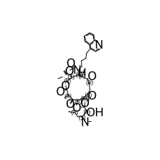 C=C[C@]12OC(=O)N(CCCCc3ccnc4ccccc34)[C@@H]1[C@@H](C)C(=O)[C@H](C)C[C@](C)(OC)[C@H](OC1O[C@H](C)C[C@H](N(C)C)[C@H]1O)[C@@H](C)C(=O)[C@@H](C)C(=O)O[C@@H]2CC